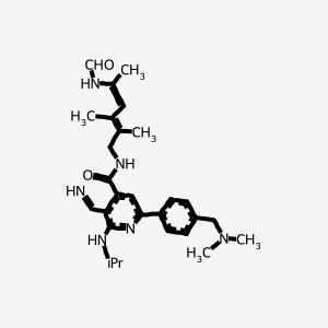 C/C(=C/C(C)=C(\C)CNC(=O)c1cc(-c2ccc(CN(C)C)cc2)nc(NC(C)C)c1C=N)NC=O